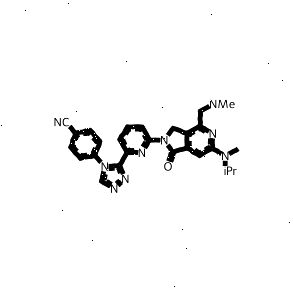 CNCc1nc(N(C)C(C)C)cc2c1CN(c1cccc(-c3nncn3-c3ccc(C#N)cc3)n1)C2=O